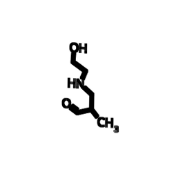 CC(C=O)CNCCO